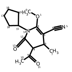 COC1=C(C#N)C(C)C(C(C)=O)C(=O)N1C1CCCC1